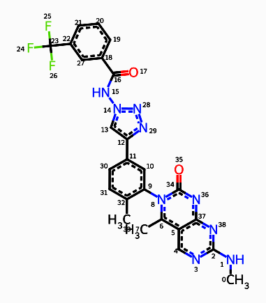 CNc1ncc2c(C)n(-c3cc(-c4cn(NC(=O)c5cccc(C(F)(F)F)c5)nn4)ccc3C)c(=O)nc2n1